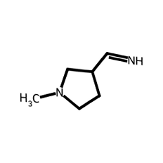 CN1CCC(C=N)C1